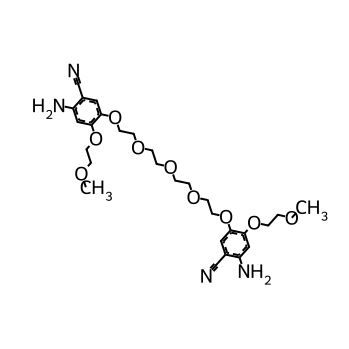 COCCOc1cc(N)c(C#N)cc1OCCOCCOCCOCCOc1cc(C#N)c(N)cc1OCCOC